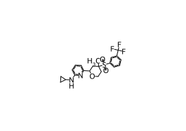 CC1(S(=O)(=O)c2cccc(C(F)(F)F)c2)CCOC(c2cccc(NC3CC3)n2)C1